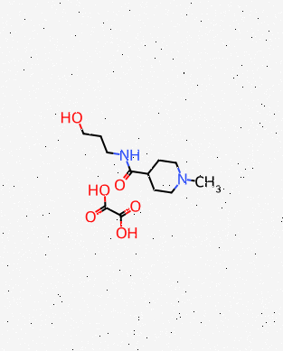 CN1CCC(C(=O)NCCCO)CC1.O=C(O)C(=O)O